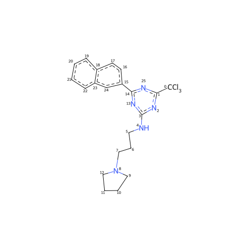 ClC(Cl)(Cl)c1nc(NCCCN2CCCC2)nc(-c2ccc3ccccc3c2)n1